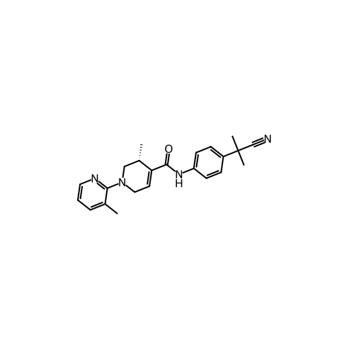 Cc1cccnc1N1CC=C(C(=O)Nc2ccc(C(C)(C)C#N)cc2)[C@@H](C)C1